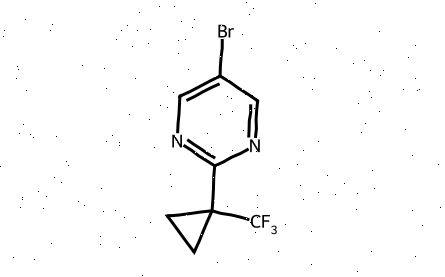 FC(F)(F)C1(c2ncc(Br)cn2)CC1